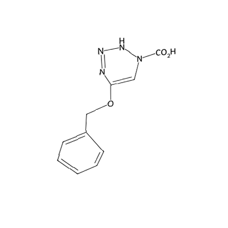 O=C(O)N1C=C(OCc2ccccc2)N=NN1